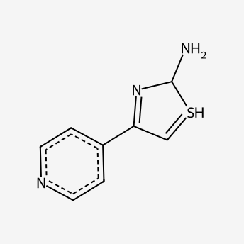 NC1N=C(c2ccncc2)C=[SH]1